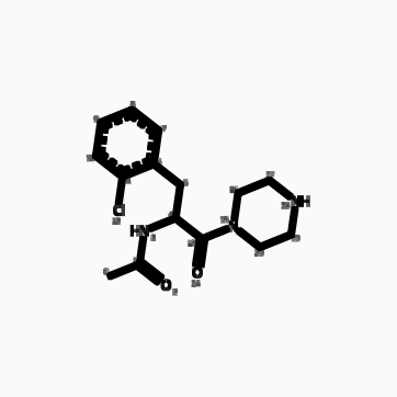 CC(=O)NC(Cc1ccccc1Cl)C(=O)N1CCNCC1